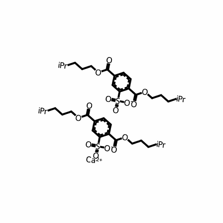 CC(C)CCCOC(=O)c1ccc(C(=O)OCCCC(C)C)c(S(=O)(=O)[O-])c1.CC(C)CCCOC(=O)c1ccc(C(=O)OCCCC(C)C)c(S(=O)(=O)[O-])c1.[Ca+2]